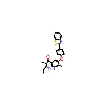 CCc1[nH]c2cc(C)c(Oc3ccc(-c4nc5ccccc5s4)cc3)cc2c(=O)c1C